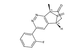 C=C1[C@@H]2CC(=O)[C@@]1(C)c1nnc(-c3ccccc3F)cc12